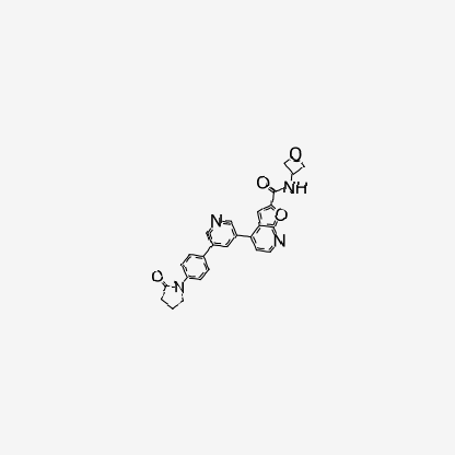 O=C(NC1COC1)c1cc2c(-c3cncc(-c4ccc(N5CCCC5=O)cc4)c3)ccnc2o1